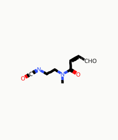 CN(CCN=C=O)C(=O)/C=C\C=O